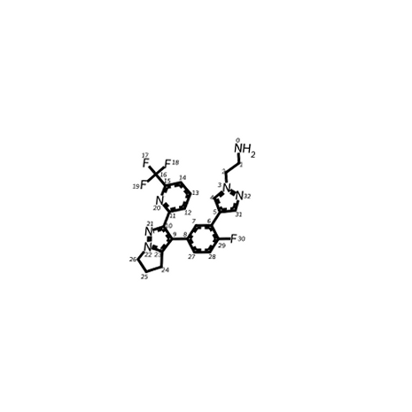 NCCn1cc(-c2cc(-c3c(-c4cccc(C(F)(F)F)n4)nn4c3CCC4)ccc2F)cn1